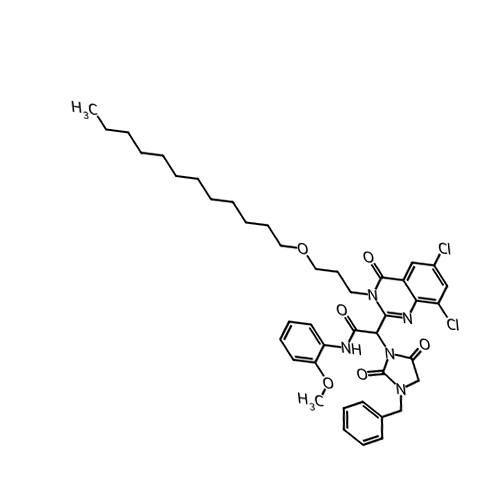 CCCCCCCCCCCCOCCCn1c(C(C(=O)Nc2ccccc2OC)N2C(=O)CN(Cc3ccccc3)C2=O)nc2c(Cl)cc(Cl)cc2c1=O